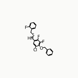 Fc1ccccc1CSNc1cc(Cl)c(OCc2ccccc2)c(F)c1F